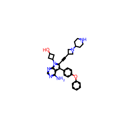 Nc1ncnc2c1c(-c1ccc(Oc3ccccc3)cc1)c(C#CC1CN(C3CCNCC3)C1)n2C1CC(O)C1